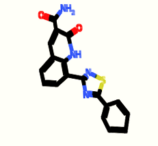 NC(=O)c1cc2cccc(-c3nsc(-c4ccccc4)n3)c2[nH]c1=O